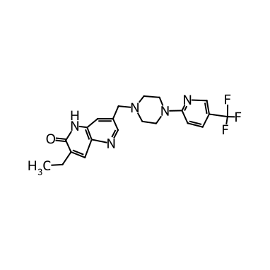 CCc1cc2ncc(CN3CCN(c4ccc(C(F)(F)F)cn4)CC3)cc2[nH]c1=O